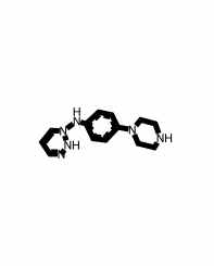 C1=CN(Nc2ccc(N3CCNCC3)cc2)NN=C1